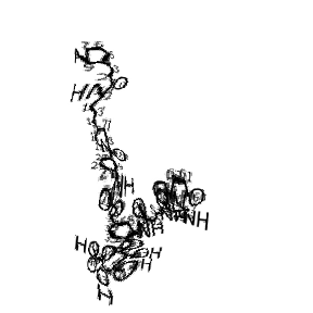 O=C(/C=C/c1cccnc1)NCCCCC1CCN(C(=O)c2cccc(NC(=O)OCc3ccc(OC4OC(C(=O)O)C(O)C(O)C4O)c(NC(=O)CCNC(=O)C4(N5C(=O)C=CC5=O)CNC4)c3)c2)CC1